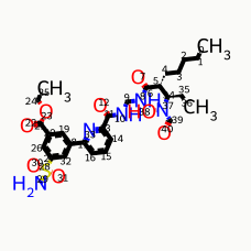 CCCCC[C@@H](C(=O)NCNC(=O)c1cccc(-c2cc(C(=O)OCC)cc(S(N)(=O)=O)c2)n1)[C@@H](CC)N(O)C=O